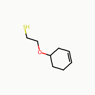 SCCOC1CC=CCC1